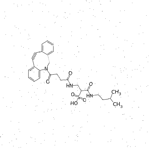 CC(C)CCNC(=O)C(CNC(=O)CCC(=O)N1Cc2ccccc2C#Cc2ccccc21)S(=O)(=O)O